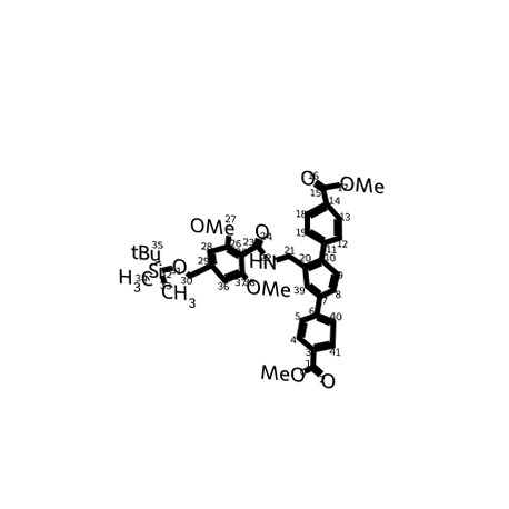 COC(=O)c1ccc(-c2ccc(-c3ccc(C(=O)OC)cc3)c(CNC(=O)c3c(OC)cc(CO[Si](C)(C)C(C)(C)C)cc3OC)c2)cc1